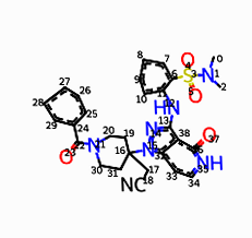 CN(C)S(=O)(=O)c1ccccc1Nc1nn(C2(CC#N)CCN(C(=O)c3ccccc3)CC2)c2cc[nH]c(=O)c12